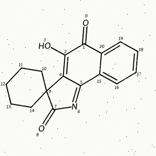 O=C1C(O)=C2C(=NC(=O)C23CCCCC3)c2ccccc21